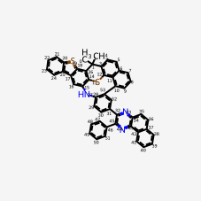 CC1(C)c2ccc3cccc4c3c2Sc2c(cc3c(sc5ccccc53)c21)Nc1ccc(-c2nc3ccc5ccccc5c3nc2-c2ccccc2)cc1-4